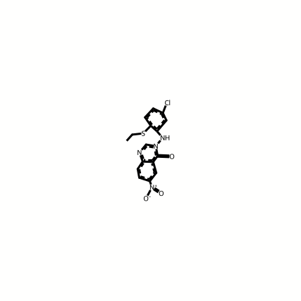 CCSc1ccc(Cl)cc1Nn1cnc2ccc([N+](=O)[O-])cc2c1=O